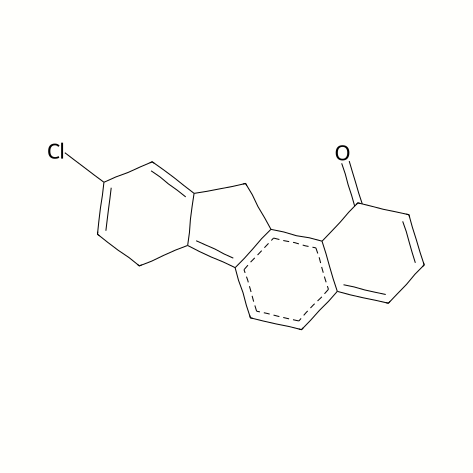 O=C1C=CC=c2ccc3c(c21)CC1=CC(Cl)=CCC=31